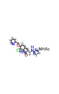 CC(=O)Nc1ccnc(NC(C)c2cc3ccc(OCc4ccccn4)c(Cl)c3[nH]c2=O)n1